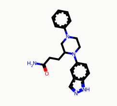 NC(=O)CCC1CN(c2ccccc2)CCN1c1ccc2[nH]ncc2c1